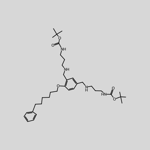 CC(C)(C)OC(=O)NCCCNCc1ccc(OCCCCCCc2ccccc2)c(CNCCCNC(=O)OC(C)(C)C)c1